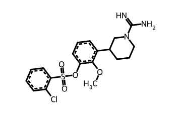 COc1c(OS(=O)(=O)c2ccccc2Cl)cccc1C1CCCN(C(=N)N)C1